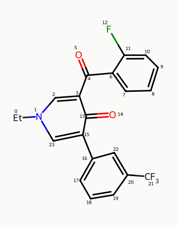 CCn1cc(C(=O)c2ccccc2F)c(=O)c(-c2cccc(C(F)(F)F)c2)c1